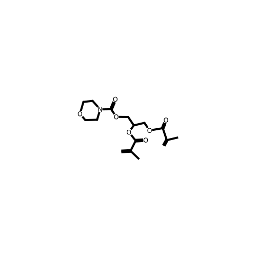 C=C(C)C(=O)OCC(COC(=O)N1CCOCC1)OC(=O)C(=C)C